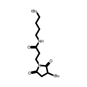 CC(C)(C)CCCCNC(=O)CCN1C(=O)CC(C(C)(C)C)C1=O